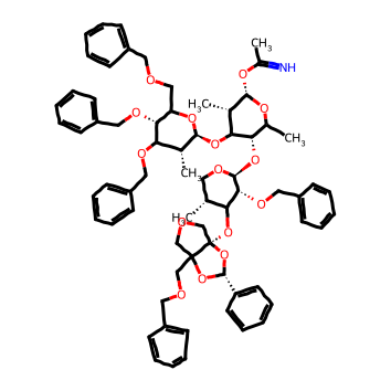 CC(=N)O[C@@H]1OC(C)[C@H](O[C@@H]2OC[C@@H](C)C(O[C@@]34COCC3(COCc3ccccc3)O[C@@H](c3ccccc3)O4)[C@H]2OCc2ccccc2)C(O[C@@H]2OC(COCc3ccccc3)[C@@H](OCc3ccccc3)C(OCc3ccccc3)[C@H]2C)[C@@H]1C